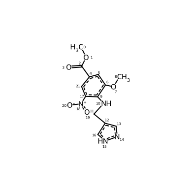 COC(=O)c1cc(OC)c(NCc2cn[nH]c2)c([N+](=O)[O-])c1